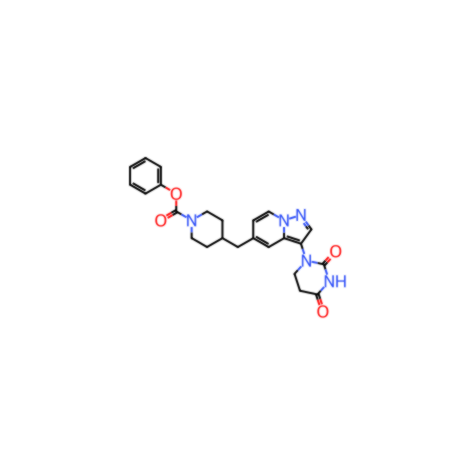 O=C1CCN(c2cnn3ccc(CC4CCN(C(=O)Oc5ccccc5)CC4)cc23)C(=O)N1